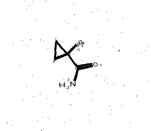 CC(C)C1(C(N)=O)CC1